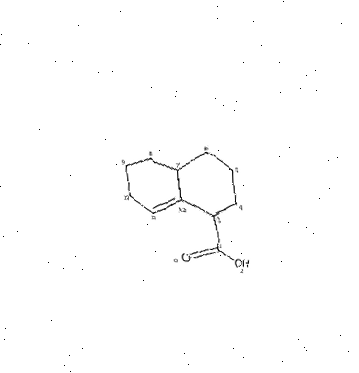 O=C(O)C1CCCC2CCCC=C21